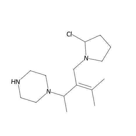 CC(C)=C(CN1CCCC1Cl)C(C)N1CCNCC1